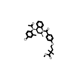 COC(=O)C(C)(C)CCOc1ccc(C(=O)N2c3ccccc3[C@H](N(C(C)=O)c3ccc(Cl)cc3C)C[C@@H]2C)cc1